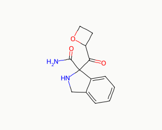 NC(=O)C1(C(=O)C2CCO2)NCc2ccccc21